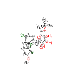 CCOc1ccc(Cc2cc([C@]3(OC)O[C@H](CO[Si](C)(C)C(C)(C)C)[C@@H](O)C(O)[C@H]3O)ccc2Cl)c(F)c1F